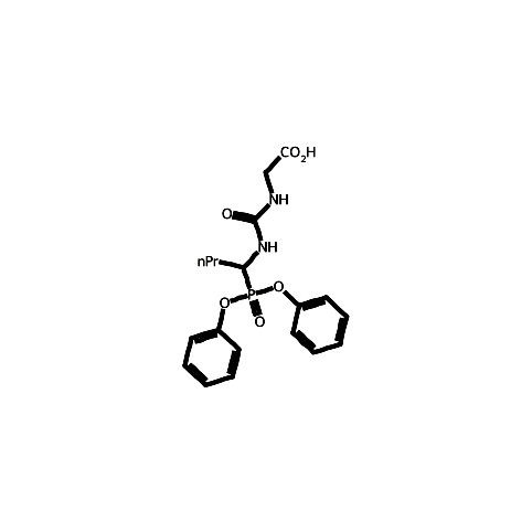 CCCC(NC(=O)NCC(=O)O)P(=O)(Oc1ccccc1)Oc1ccccc1